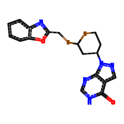 O=c1[nH]cnc2c1cnn2C1CCSC(SCc2nc3ccccc3o2)C1